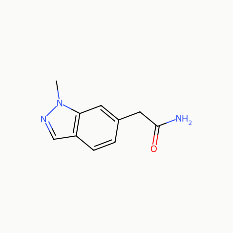 Cn1ncc2ccc(CC(N)=O)cc21